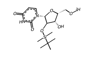 [2H]OC[C@H]1O[C@@H](n2ccc(=O)[nH]c2=O)C(O[Si](C)(C)C(C)(C)C)[C@H]1O